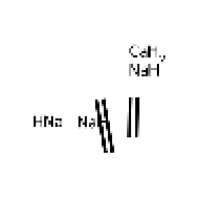 C=C.C=C.[CaH2].[NaH].[NaH].[NaH]